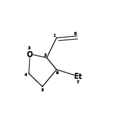 C=CC1OCCC1CC